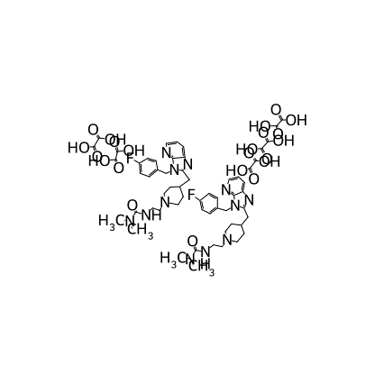 CN(C)C(=O)NCCN1CCC(Cc2nc3cccnc3n2Cc2ccc(F)cc2)CC1.CN(C)C(=O)NCCN1CCC(Cc2nc3cccnc3n2Cc2ccc(F)cc2)CC1.O=C(O)C(=O)O.O=C(O)C(=O)O.O=C(O)C(=O)O.O=C(O)C(=O)O.O=C(O)C(=O)O